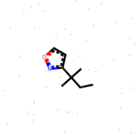 CCC(C)(C)c1ccon1